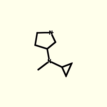 CN(C1CC1)C1CC[N]C1